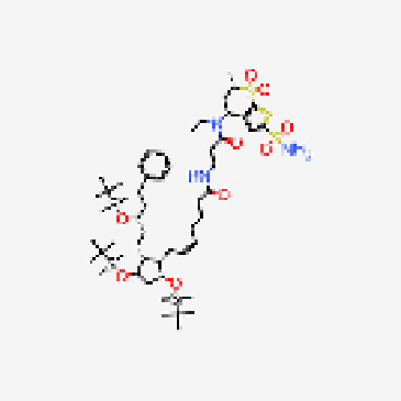 CCN(C(=O)CCNC(=O)CCC/C=C\C[C@H]1C(O[Si](C)(C)C(C)(C)C)CC(O[Si](C)(C)C(C)(C)C)[C@@H]1CC[C@@H](CCc1ccccc1)O[Si](C)(C)C(C)(C)C)[C@H]1C[C@H](C)S(=O)(=O)c2sc(S(N)(=O)=O)cc21